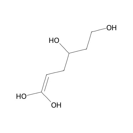 OCCC(O)CC=C(O)O